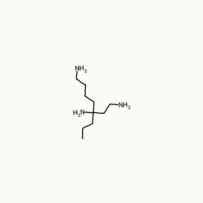 [CH2]CCC(N)(CCN)CCCCN